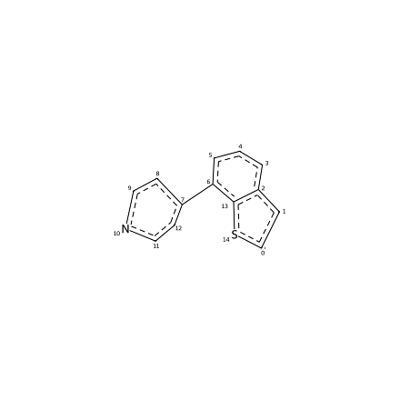 [c]1cc2cccc(-c3ccncc3)c2s1